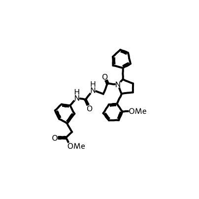 COC(=O)Cc1cccc(NC(=O)NCC(=O)N2C(c3ccccc3)CCC2c2ccccc2OC)c1